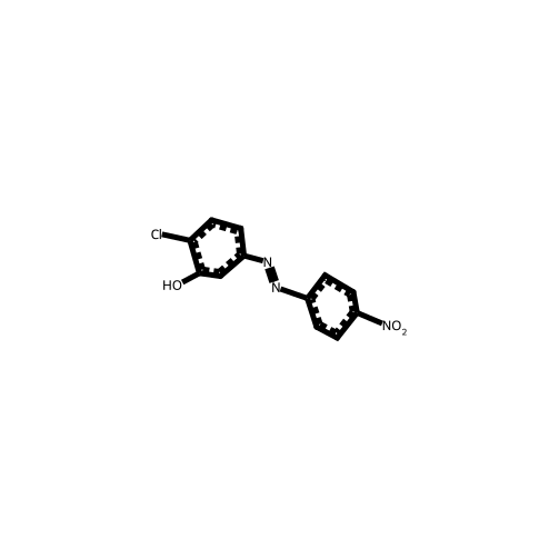 O=[N+]([O-])c1ccc(/N=N/c2ccc(Cl)c(O)c2)cc1